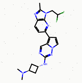 Cc1nc2ccc(-c3ccn4nc(N[C@H]5C[C@H](N(C)C)C5)ncc34)nc2n1CC(F)F